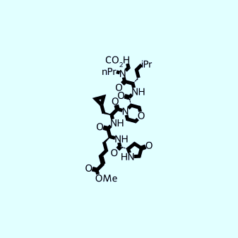 CCCN(CC(=O)O)C(=O)[C@H](CCC(C)C)NC(=O)[C@@H]1COCCN1C(=O)[C@H](CC1CC1)NC(=O)[C@H](CC/C=C/C(=O)OC)NC(=O)[C@@H]1CC(=O)CN1